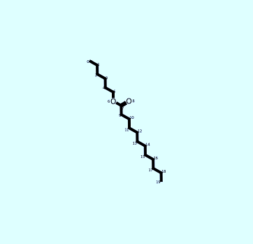 [CH2]CCCCCOC(=O)CCCCCCCCCCC